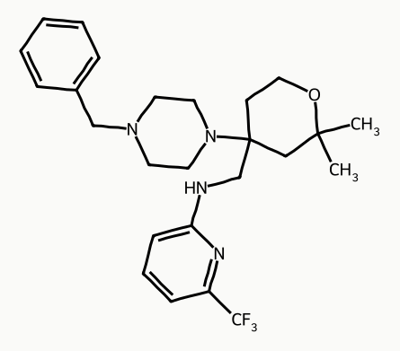 CC1(C)CC(CNc2cccc(C(F)(F)F)n2)(N2CCN(Cc3ccccc3)CC2)CCO1